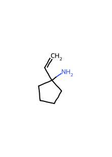 C=CC1(N)CCCC1